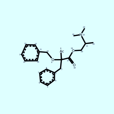 CC(=O)C(Cc1ccccc1)(OCc1ccccc1)C(=O)OCC(C)N(C)C